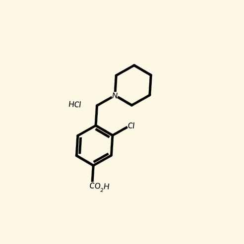 Cl.O=C(O)c1ccc(CN2CCCCC2)c(Cl)c1